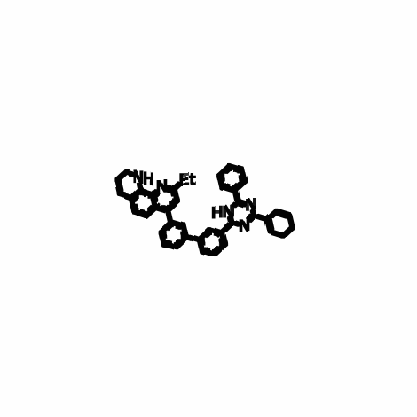 CCc1cc(-c2cccc(-c3cccc(C4N=C(C5=CCCC=C5)N=C(c5ccccc5)N4)c3)c2)c2ccc3c(c2n1)NCC=C3